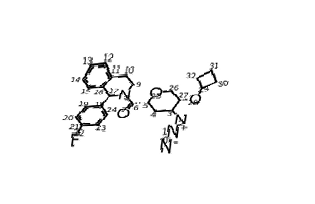 [N-]=[N+]=NC1C[C@H](C(=O)N2CCc3ccccc3[C@@H]2c2ccc(F)cc2)OC[C@@H]1OC1CCC1